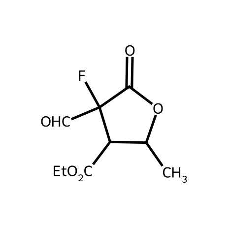 CCOC(=O)C1C(C)OC(=O)C1(F)C=O